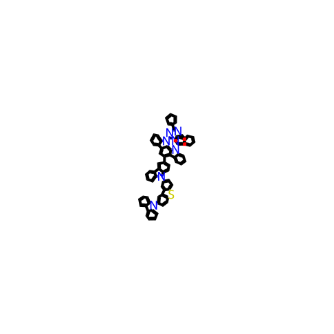 c1ccc(-c2nc(-c3ccccc3)nc(-n3c4ccccc4c4cc(-c5ccc6c(c5)c5ccccc5n6-c5ccc6sc7ccc(-n8c9ccccc9c9ccccc98)cc7c6c5)c5c6ccccc6n(-c6ccccc6)c5c43)n2)cc1